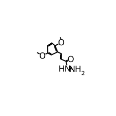 COc1ccc(OC)c(C=CC(=O)NN)c1